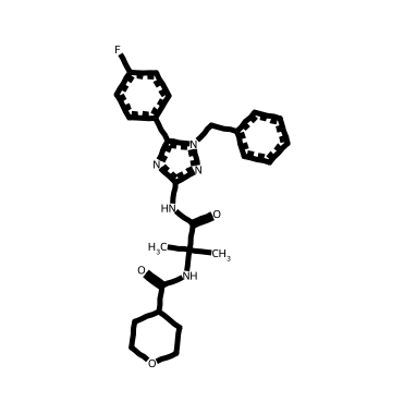 CC(C)(NC(=O)C1CCOCC1)C(=O)Nc1nc(-c2ccc(F)cc2)n(Cc2ccccc2)n1